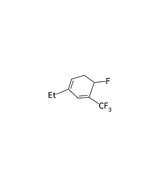 CCC1=CCC(F)C(C(F)(F)F)=C1